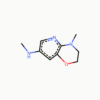 CNc1cnc2c(c1)OCCN2C